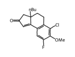 CCCCC12CCc3c(cc(F)c(OC)c3Cl)C1=CC(=O)C2